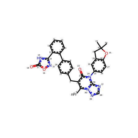 CCCc1c(Cc2ccc(-c3ccccc3-c3noc(=O)[nH]3)cc2)c(=O)n(-c2ccc3c(c2)CC(C)(C)O3)c2ncnn12